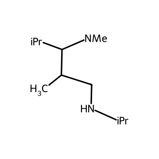 CNC(C(C)C)C(C)CNC(C)C